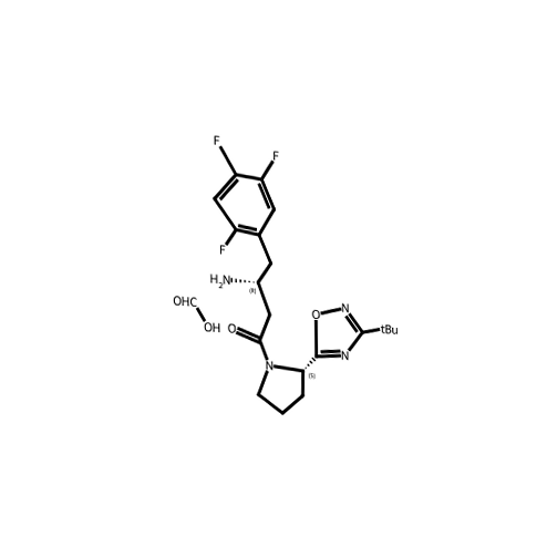 CC(C)(C)c1noc([C@@H]2CCCN2C(=O)C[C@H](N)Cc2cc(F)c(F)cc2F)n1.O=CO